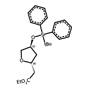 CCOC(=O)C[C@H]1C[C@H](O[Si](c2ccccc2)(c2ccccc2)C(C)(C)C)CO1